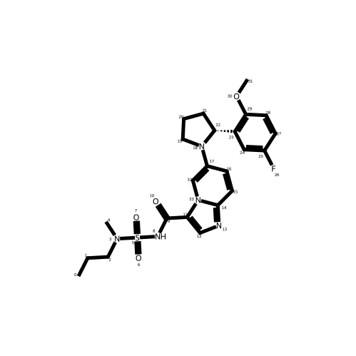 CCCN(C)S(=O)(=O)NC(=O)c1cnc2ccc(N3CCC[C@@H]3c3cc(F)ccc3OC)cn12